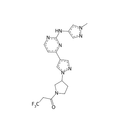 Cn1cc(Nc2nccc(-c3cnn(C4CCN(C(=O)CC(F)(F)F)C4)c3)n2)cn1